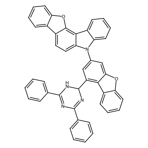 c1ccc(C2=NC(c3cc(-n4c5ccccc5c5c6oc7ccccc7c6ccc54)cc4oc5ccccc5c34)NC(c3ccccc3)=N2)cc1